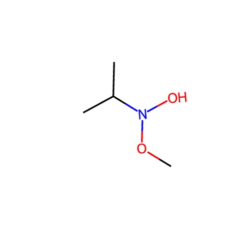 CON(O)C(C)C